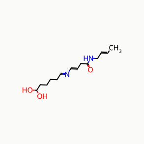 C/C=C/CNC(=O)C/C=C/N=C/CCCCC(O)O